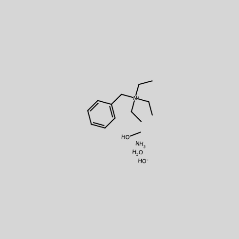 CC[N+](CC)(CC)Cc1ccccc1.CO.N.O.[OH-]